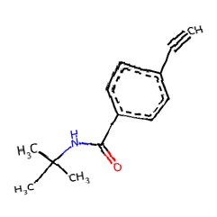 C#Cc1ccc(C(=O)NC(C)(C)C)cc1